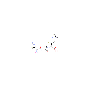 CON=C(C(=O)N[C@@H]1C(=O)N2C(C(=O)O)=C(C[n+]3cscc3C)CS[C@@H]12)c1csc(N)n1